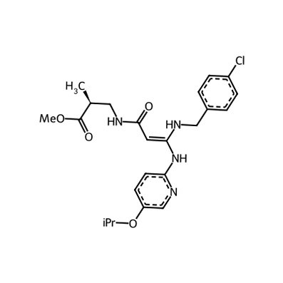 COC(=O)[C@@H](C)CNC(=O)/C=C(\NCc1ccc(Cl)cc1)Nc1ccc(OC(C)C)cn1